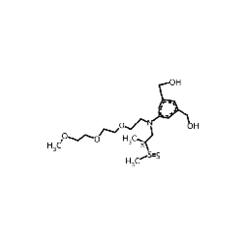 COCCOCCOCCN(C[C@H](C)S(C)=S)c1cc(CO)cc(CO)c1